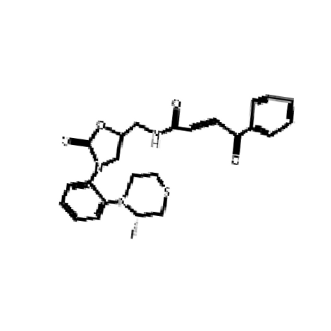 O=C(C=CC(=O)c1ccccc1)NCC1CN(c2ccccc2N2CCSC[C@@H]2F)C(=O)O1